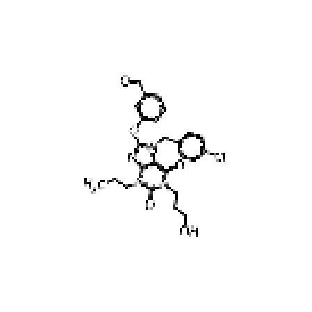 CCCn1c(=O)n(CCCO)c(=O)c2c1nc(Oc1cccc(C=O)c1)n2Cc1ccc(Cl)cc1